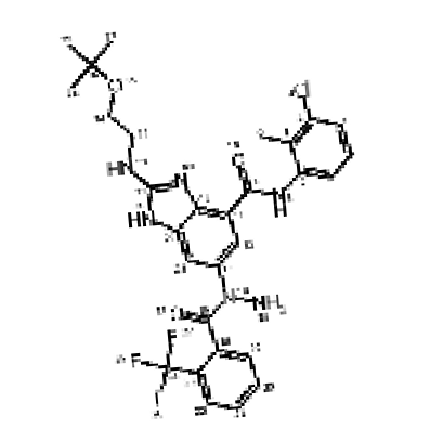 Cc1c(Cl)cccc1NC(=O)c1cc(N(N)C(=O)c2ccccc2C(F)(F)F)cc2[nH]c(NCCOC(C)(C)C)nc12